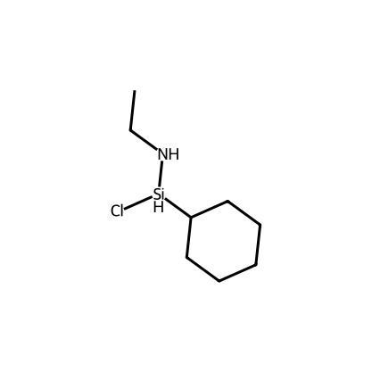 CCN[SiH](Cl)C1CCCCC1